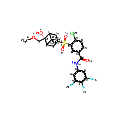 COC[C@]1(O)C2CC(S(=O)(=O)c3cc(C(=O)Nc4cc(F)c(F)c(F)c4)ccc3Cl)CC1[C@@H]2C